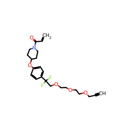 C#CCOCCOCCOCC(F)(F)c1ccc(OC2CCN(C(=O)C=C)CC2)cc1